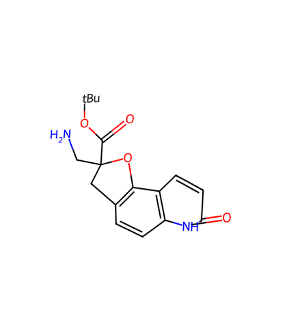 CC(C)(C)OC(=O)C1(CN)Cc2ccc3[nH]c(=O)ccc3c2O1